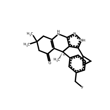 CC1(C)CC(=O)C2=C(C1)Nc1n[nH]c(C3CC3)c1[C@@]2(C)c1cccc(CF)c1